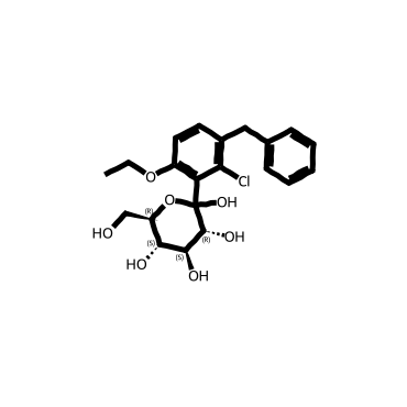 CCOc1ccc(Cc2ccccc2)c(Cl)c1C1(O)O[C@H](CO)[C@@H](O)[C@H](O)[C@H]1O